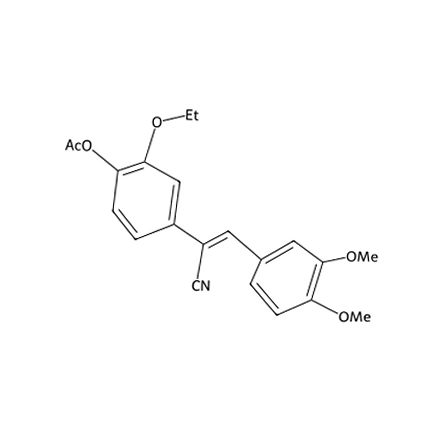 CCOc1cc(C(C#N)=Cc2ccc(OC)c(OC)c2)ccc1OC(C)=O